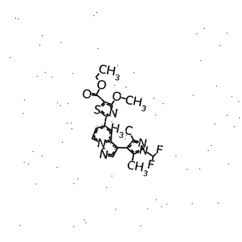 CCOC(=O)c1sc(-c2ccn3ncc(-c4c(C)nn(C(F)F)c4C)c3c2)nc1OC